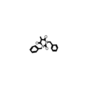 CC1C(=O)N(Cc2ccccc2)C(=O)N(Cc2ccccc2)C1=O